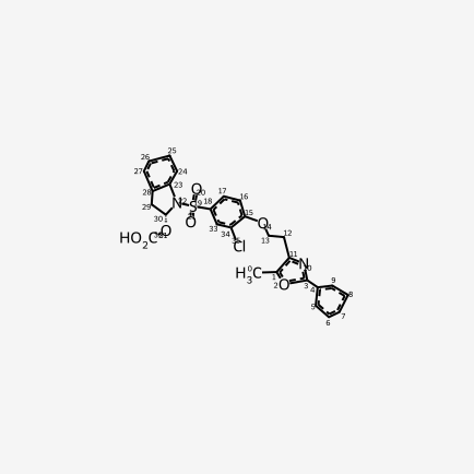 Cc1oc(-c2ccccc2)nc1CCOc1ccc(S(=O)(=O)N2c3ccccc3C[C@H]2OC(=O)O)cc1Cl